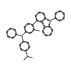 Cc1cc(N(c2ccccc2)c2ccc(C(C)C)cc2)ccc1-c1cccc2c1c1ccccc1n2-c1ccccc1